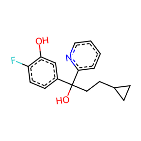 Oc1cc(C(O)(CCC2CC2)c2ccccn2)ccc1F